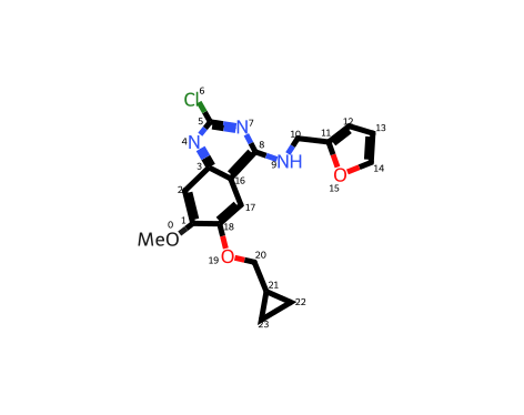 COc1cc2nc(Cl)nc(NCc3ccco3)c2cc1OCC1CC1